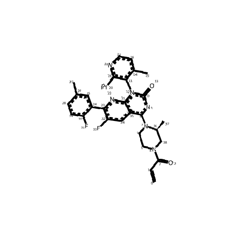 C=CC(=O)N1CCN(c2nc(=O)n(-c3c(C)ccnc3C(C)C)c3nc(-c4cc(C)ccc4F)c(F)cc23)[C@@H](C)C1